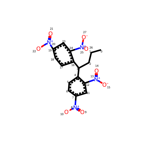 CCCC(c1ccc([N+](=O)[O-])cc1[N+](=O)[O-])c1ccc([N+](=O)[O-])cc1[N+](=O)[O-]